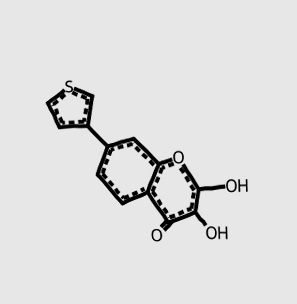 O=c1c(O)c(O)oc2cc(-c3ccsc3)ccc12